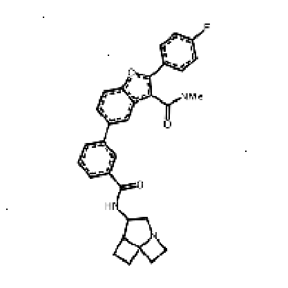 CNC(=O)c1c(-c2ccc(F)cc2)oc2ccc(-c3cccc(C(=O)NC4CN5CCC56CCC46)c3)cc12